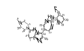 CN1CCN(c2ccc3ncc(-c4cnc(Nc5ncccc5F)nc4)n3n2)CC1